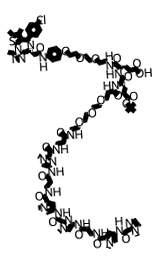 Cc1sc2c(c1C)C(c1ccc(Cl)cc1)=N[C@@H](CC(=O)Nc1ccc(OCCOCCOCCNC(=O)[C@@H](CCC(=O)O)NC(=O)[C@@H](CCC(=O)OC(C)(C)C)NC(=O)CCOCCOCCOCCNC(=O)CCNC(=O)c3nc(NC(=O)CCNC(=O)c4cc(NC(=O)c5nc(NC(=O)CCNC(=O)c6cc(NC(=O)c7nccn7C)cn6C)cn5C)cn4C)cn3C)cc1)c1nnc(C)n1-2